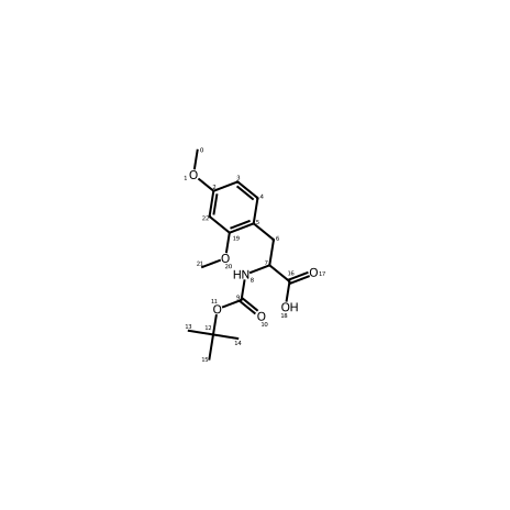 COc1ccc(CC(NC(=O)OC(C)(C)C)C(=O)O)c(OC)c1